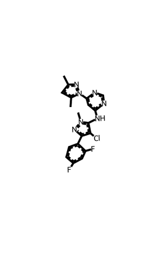 Cc1cc(C)n(-c2cc(Nc3c(Cl)c(-c4ccc(F)cc4F)nn3C)ncn2)n1